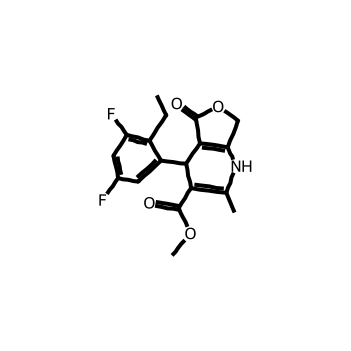 CCc1c(F)cc(F)cc1C1C(C(=O)OC)=C(C)NC2=C1C(=O)OC2